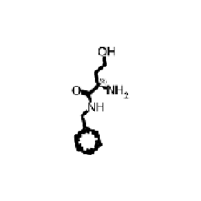 N[C@H](CCO)C(=O)NCc1ccccc1